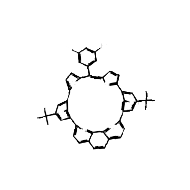 CC(C)(C)c1cc2c3nc(c(-c4cc(Br)cc(Br)c4)c4ccc([nH]4)c4cc(C(C)(C)C)cc(c4O)c4ccc5ccc6ccc(nc6c5n4)c(c1)c2O)C=C3